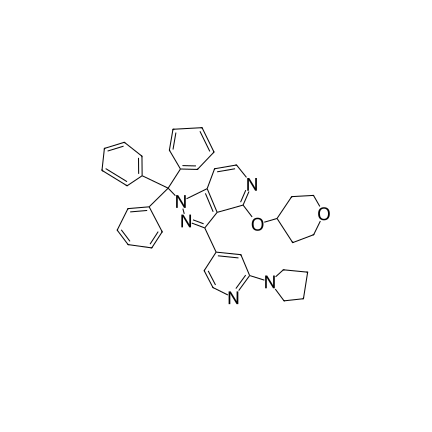 c1ccc(C(c2ccccc2)(c2ccccc2)n2nc(-c3ccnc(N4CCCC4)c3)c3c(OC4CCOCC4)nccc32)cc1